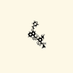 COc1c(NC(=O)C(=O)c2ccc(OCCN3CCOCC3)c3ccccc23)cc(C(C)(C)C)cc1C(=O)NC1CC1